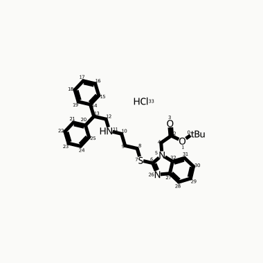 CC(C)(C)OC(=O)Cn1c(SCCCNCC(c2ccccc2)c2ccccc2)nc2ccccc21.Cl